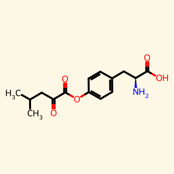 CC(C)CC(=O)C(=O)Oc1ccc(C[C@H](N)C(=O)O)cc1